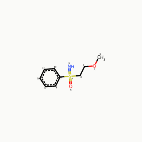 COCCS(=N)(=O)c1ccccc1